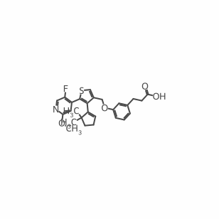 COc1cc(-c2scc(COc3cccc(CCC(=O)O)c3)c2C2=CCCC2(C)C)c(F)cn1